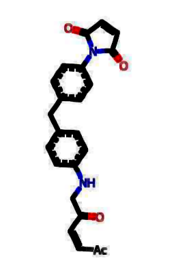 CC(=O)/C=C\C(=O)CNc1ccc(Cc2ccc(N3C(=O)C=CC3=O)cc2)cc1